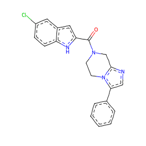 O=C(c1cc2cc(Cl)ccc2[nH]1)N1CCn2c(-c3ccccc3)cnc2C1